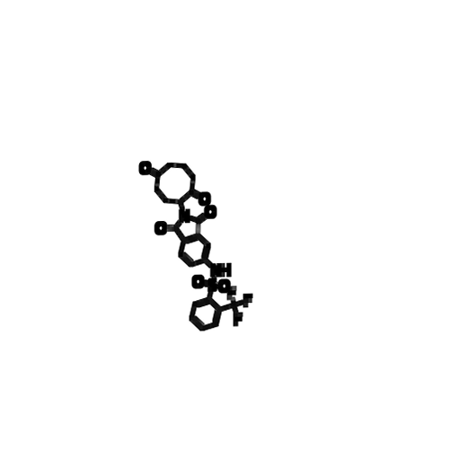 O=C1CCCC(=O)C(N2C(=O)c3ccc(NS(=O)(=O)c4ccccc4C(F)(F)F)cc3C2=O)CC1